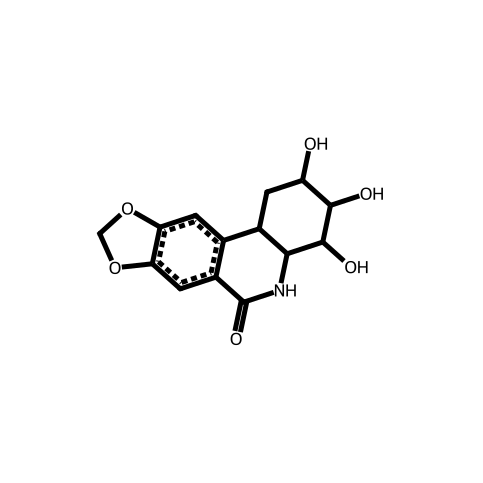 O=C1NC2C(CC(O)C(O)C2O)c2cc3c(cc21)OCO3